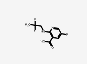 CC(F)(F)CNc1ncc(F)cc1C(=O)O